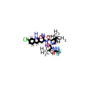 CC(C)(C)[C@H](NC(=O)C(F)(F)F)C(=O)N1C[C@H]2[C@@H]([C@H]1C(=O)NC(C#N)Cc1cc3ccc(Cl)cc3[nH]c1=O)C2(C)C